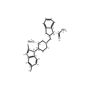 CO[C@@H]1CN(CC2Cc3c[c]ccc3[C@@H]2C(N)=O)CC[C@H]1n1c(C)nc2cc(F)ccc21